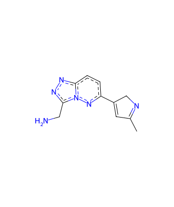 CC1=NCC(c2ccc3nnc(CN)n3n2)=C1